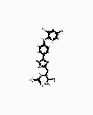 CC(O)C(Cc1nc(-c2ccc(Oc3ncc(Br)cc3F)cc2)no1)OC(N)=O